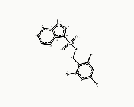 Cc1cc(Cl)cc(Cl)c1CNS(=O)(=O)c1n[nH]c2ncccc12